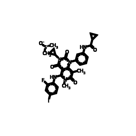 C[S+](C)[O-].Cc1c(=O)n(C)c(Nc2ccc(I)cc2F)c2c(=O)n(C3CC3)c(=O)n(-c3cccc(NC(=O)C4CC4)c3)c12